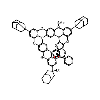 CCC1(c2cc3c4c(c2)N(c2ccccc2)c2c(sc5ccccc25)B4c2cc4c(cc2N3)Oc2cc(C35CC6CC(CC(C6)C3)C5)cc3c2B4c2cc4c(cc2O3)N(SC)c2cc(C35CC6CC(CC(C6)C3)C5)cc3c2B4c2sc4ccccc4c2O3)CC2CCCC(C2)C1